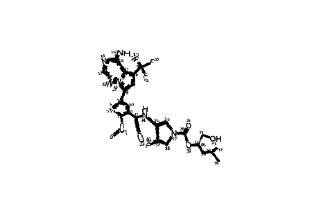 COc1ncc(-c2cc(C(F)(F)F)c3c(N)ncnn23)cc1C(=O)NC1CN(C(=O)O[C@@H](CO)CC(C)C)CC1F